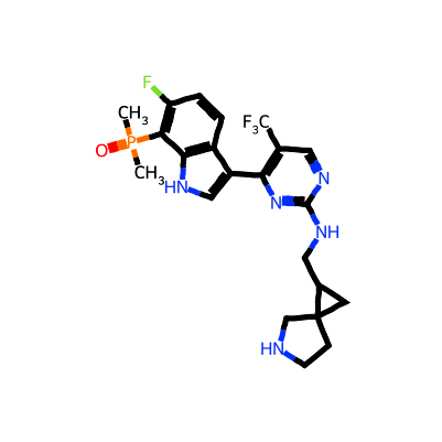 CP(C)(=O)c1c(F)ccc2c(-c3nc(NCC4CC45CCNC5)ncc3C(F)(F)F)c[nH]c12